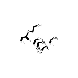 C=CC.C=CC.C=CC.C=CC.C=CC(=O)OCCO